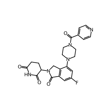 O=C1CCC(N2Cc3c(cc(F)cc3N3CCN(C(=O)c4ccncc4)CC3)C2=O)C(=O)N1